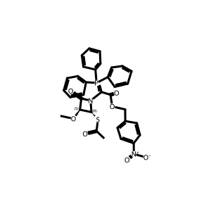 CO[C@H]1C(=O)N(C(C(=O)OCc2ccc([N+](=O)[O-])cc2)=P(c2ccccc2)(c2ccccc2)c2ccccc2)[C@@H]1SC(C)=O